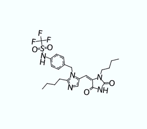 CCCCc1ncc(/C=C2\C(=O)NC(=O)N2CCCC)n1Cc1ccc(NS(=O)(=O)C(F)(F)F)cc1